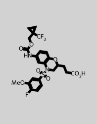 COc1cc(S(=O)(=O)N2CC(CCC(=O)O)Oc3ccc(NC(=O)OCC4(C(F)(F)F)CC4)cc32)ccc1F